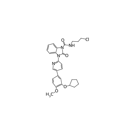 COc1ccc(-c2ccc(-n3c(=O)n(C(=O)NCCCCl)c4ccccc43)nc2)cc1OC1CCCC1